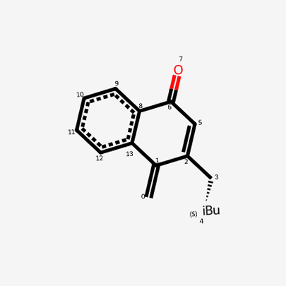 C=C1C(C[C@@H](C)CC)=CC(=O)c2ccccc21